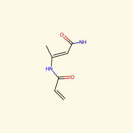 C=CC(=O)NC(C)=CC([NH])=O